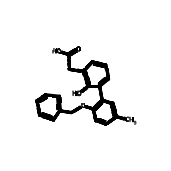 Cc1ccc(OCc2ccccc2)c(-c2cccc(CC(=O)O)c2O)c1